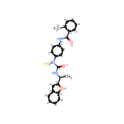 CC(NC(=O)N(S)c1ccc(NC(=O)c2ccccc2C(F)(F)F)cc1)c1cc2ccccc2o1